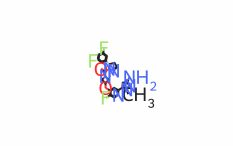 Cn1nc(N)cc1-c1cc(OC2CN(C(=O)N3N=CC[C@H]3c3cc(F)cc(F)c3)C2)c(F)cn1